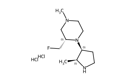 C[C@@H]1NCC[C@@H]1N1CCN(C)C[C@H]1CF.Cl.Cl